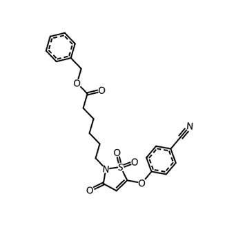 N#Cc1ccc(OC2=CC(=O)N(CCCCCC(=O)OCc3ccccc3)S2(=O)=O)cc1